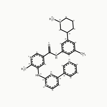 Cc1cc(NC(=O)c2cnc(C)c(Nc3nccc(-c4cccnc4)n3)c2)cc(C2CCCN(C)C2)c1